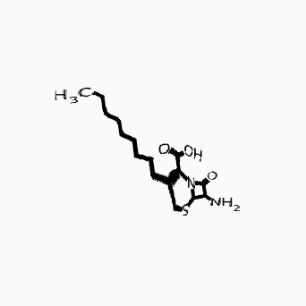 CCCCCCCCCC1=C(C(=O)O)N2C(=O)C(N)C2SC1